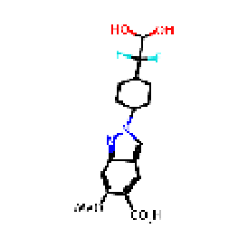 COc1cc2nn(C3CCC(C(F)(F)C(O)O)CC3)cc2cc1C(=O)O